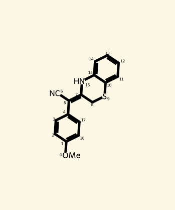 COc1ccc(C(C#N)=C2CSc3ccccc3N2)cc1